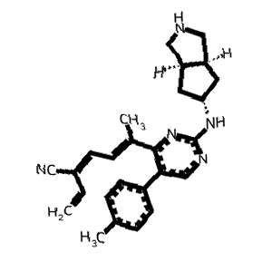 C=C/C(C#N)=C\C=C(/C)c1nc(N[C@@H]2C[C@H]3CNC[C@H]3C2)ncc1-c1ccc(C)cc1